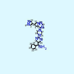 Cn1cc(-c2cc3c(N4CCN(c5ncc([C@H](N)c6ccccc6)cn5)CC4)ncnn3c2)cn1